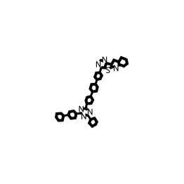 c1ccc(-c2ccc(-c3nc(-c4ccccc4)nc(-c4ccc(-c5ccc(-c6ccc(-c7ncnc8c7sc7nc9ccccc9cc78)cc6)cc5)cc4)n3)cc2)cc1